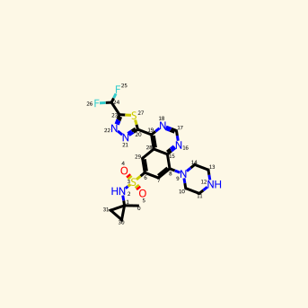 CC1(NS(=O)(=O)c2cc(N3CCNCC3)c3ncnc(-c4nnc(C(F)F)s4)c3c2)CC1